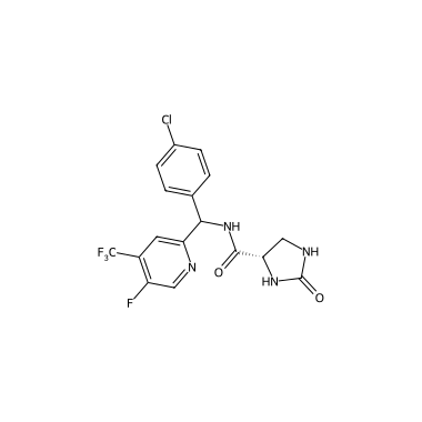 O=C1NC[C@@H](C(=O)NC(c2ccc(Cl)cc2)c2cc(C(F)(F)F)c(F)cn2)N1